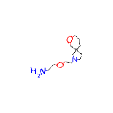 NCCOCCN1CCC2(CCCOC2)C1